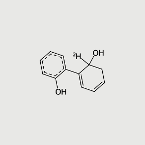 [2H]C1(O)CC=CC=C1c1ccccc1O